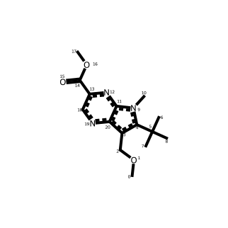 COCc1c(C(C)(C)C)n(C)c2nc(C(=O)OC)cnc12